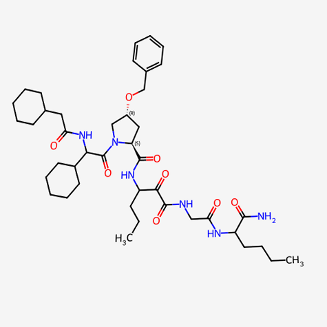 CCCCC(NC(=O)CNC(=O)C(=O)C(CCC)NC(=O)[C@@H]1C[C@@H](OCc2ccccc2)CN1C(=O)C(NC(=O)CC1CCCCC1)C1CCCCC1)C(N)=O